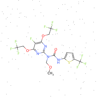 COCN(C(=O)Nc1ccc(C(F)(F)F)s1)c1nc(OCC(F)(F)F)c(F)c(OCC(F)(F)F)n1